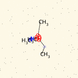 CCCCCCCC/C=C\CCCCCCCCOC(=O)C1OC(C)(CCCN2CCN(C)CC2)OC1C(=O)OCCCCCCCCCCCCCCC